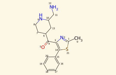 Cc1nc(C(=O)C2CCNC(CN)C2)c(-c2ccccc2)s1